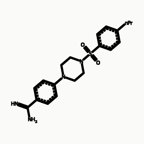 CCCc1ccc(S(=O)(=O)N2CCN(c3ccc(C(=N)N)cc3)CC2)cc1